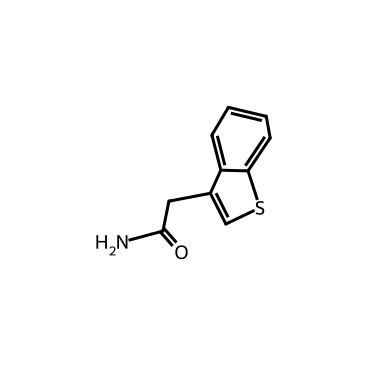 NC(=O)Cc1csc2ccccc12